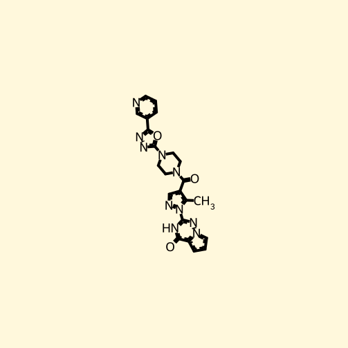 Cc1c(C(=O)N2CCN(c3nnc(-c4cccnc4)o3)CC2)cnn1-c1nn2cccc2c(=O)[nH]1